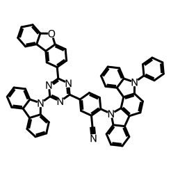 N#Cc1cc(-c2nc(-c3ccc4oc5ccccc5c4c3)nc(-n3c4ccccc4c4ccccc43)n2)ccc1-n1c2ccccc2c2ccc3c(c4ccccc4n3-c3ccccc3)c21